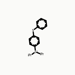 CC(C)[S+](c1ccc(Sc2ccccc2)cc1)C(C)C